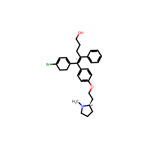 CN1CCC[C@@H]1CCOc1ccc(/C(C2=CC=C(Br)CC2)=C(/CCCO)c2ccccc2)cc1